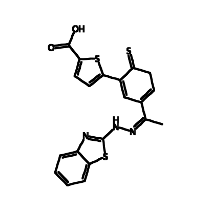 CC(=NNc1nc2ccccc2s1)C1=CCC(=S)C(c2ccc(C(=O)O)s2)=C1